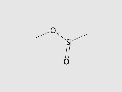 CO[Si](C)=O